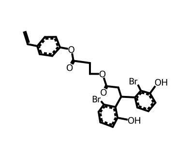 C=Cc1ccc(OC(=O)CCOC(=O)CC(c2cccc(O)c2Br)c2c(O)cccc2Br)cc1